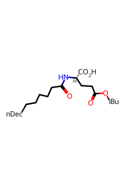 CCCCCCCCCCCCCCCC(=O)N[C@@H](CCC(=O)OC(C)CC)C(=O)O